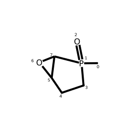 CP1(=O)CCC2OC21